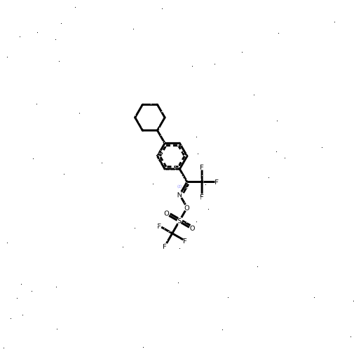 O=S(=O)(O/N=C(/c1ccc(C2CCCCC2)cc1)C(F)(F)F)C(F)(F)F